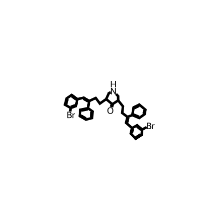 O=C1C(CCC(=Cc2cccc(Br)c2)c2ccccc2)CNCC1CCC(=Cc1cccc(Br)c1)c1ccccc1